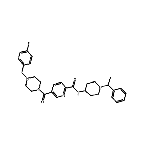 CC(c1ccccc1)N1CCC(NC(=O)c2ccc(C(=O)N3CCN(Cc4ccc(F)cc4)CC3)cn2)CC1